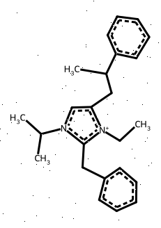 CC[n+]1c(CC(C)c2ccccc2)cn(C(C)C)c1Cc1ccccc1